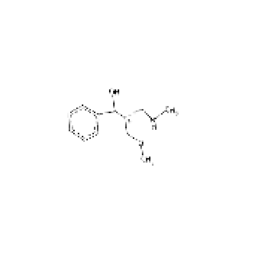 CNC[C@H](COC)C(O)c1ccccc1